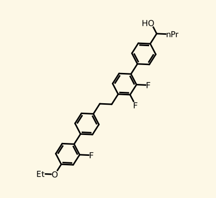 CCCC(O)c1ccc(-c2ccc(CCc3ccc(-c4ccc(OCC)cc4F)cc3)c(F)c2F)cc1